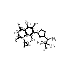 COc1c(N2CCC(C(N)C(C)(C)O)C2)c(F)c(C)c2c(=O)[nH]c(=O)n(C3CC3)c12